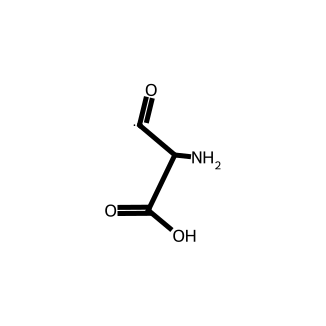 NC([C]=O)C(=O)O